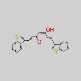 O=C(/C=C/c1csc2ccccc12)/C=C(O)\C=C\c1csc2ccccc12